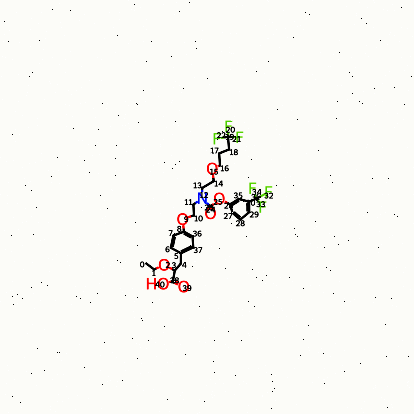 CCOC(Cc1ccc(OCCN(CCOCCCC(F)(F)F)C(=O)Oc2cccc(C(F)(F)F)c2)cc1)C(=O)O